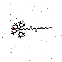 CC1(C)CC(N(C2CC(C)(C)NC(C)(C)C2)C(CCCCCNCCNCCCCCCN)(C2CC(C)(C)NC(C)(C)C2)C2CC(C)(C)NC(C)(C)C2)CC(C)(C)N1